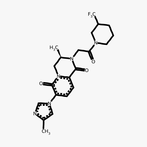 Cc1cn(-c2ccc3n(c2=O)C[C@@H](C)N(CC(=O)N2CCCC(C(F)(F)F)C2)C3=O)cn1